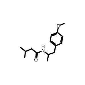 COc1ccc(CC(C)NC(=O)[CH]C(C)C)cc1